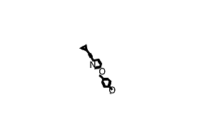 COc1ccc(COc2ccc(C#CC3CC3)nc2)cc1